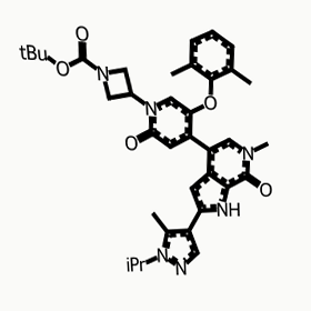 Cc1cccc(C)c1Oc1cn(C2CN(C(=O)OC(C)(C)C)C2)c(=O)cc1-c1cn(C)c(=O)c2[nH]c(-c3cnn(C(C)C)c3C)cc12